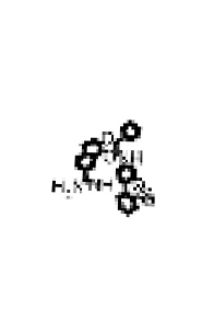 CS(=O)(=O)c1ccccc1-c1ccc(NC(=O)C(Oc2ccc3ccc(C(=N)N)cc3c2)c2ccccc2)cc1